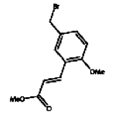 COC(=O)C=Cc1cc(CBr)ccc1OC